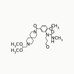 CNC(=O)N(CCC=O)c1cc(C(=O)N2CCC3(CCN(CC(OC)OC)CC3)CC2)ccc1OC